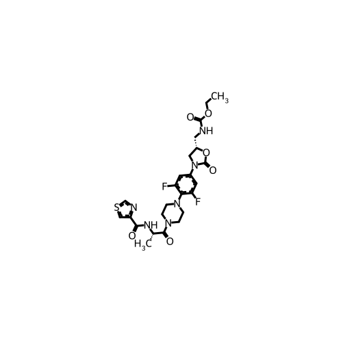 CCOC(=O)NC[C@H]1CN(c2cc(F)c(N3CCN(C(=O)[C@H](C)NC(=O)c4cscn4)CC3)c(F)c2)C(=O)O1